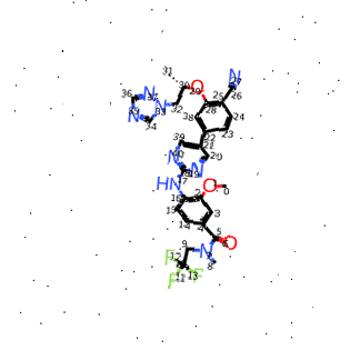 COc1cc(C(=O)N(C)CC(F)(F)F)ccc1Nc1ncc(-c2ccc(C#N)c(O[C@@H](C)Cn3cncn3)c2)cn1